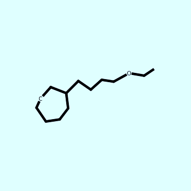 CCOCCCCC1CCCCCC1